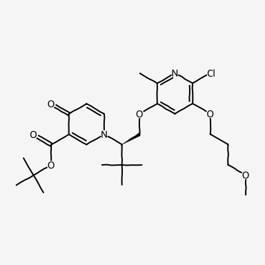 COCCCOc1cc(OC[C@H](n2ccc(=O)c(C(=O)OC(C)(C)C)c2)C(C)(C)C)c(C)nc1Cl